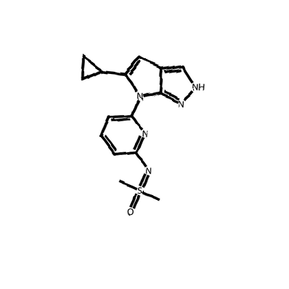 CS(C)(=O)=Nc1cccc(-n2c(C3CC3)cc3c[nH]nc32)n1